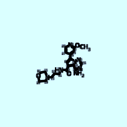 COc1cc(-c2cc(C(=O)NCCCN3CCOCC3)c3c(N)ncnn23)ccn1